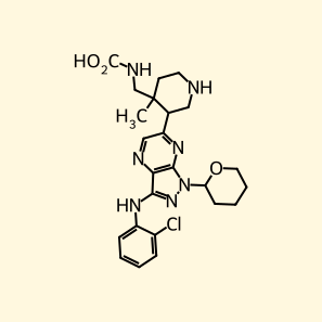 CC1(CNC(=O)O)CCNCC1c1cnc2c(Nc3ccccc3Cl)nn(C3CCCCO3)c2n1